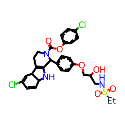 CCS(=O)(=O)NCC(O)COc1ccc(C2C3=C(CCN2C(=O)Oc2ccc(Cl)cc2)C2C=C(Cl)C=CC2N3)cc1